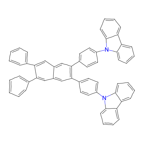 c1ccc(-c2cc3cc(-c4ccc(-n5c6ccccc6c6ccccc65)cc4)c(-c4ccc(-n5c6ccccc6c6ccccc65)cc4)cc3cc2-c2ccccc2)cc1